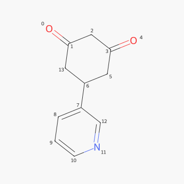 O=C1CC(=O)CC(c2cccnc2)C1